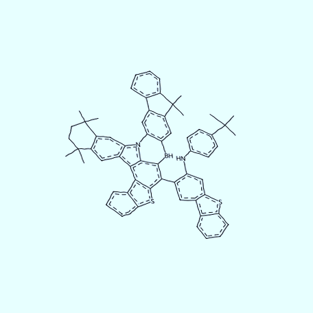 CC(C)(C)c1ccc(Nc2cc3sc4ccccc4c3cc2-c2c3c4c(c5cc6c(cc5n4-c4cc5c(cc4B3)C(C)(C)c3ccccc3-5)C(C)(C)CCC6(C)C)c3c2sc2ccccc23)cc1